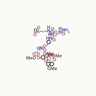 COC(=O)[C@H]1[C@@H](O)[C@@]2(O)c3c(OC)cc(OC4O[C@@H](CCNC(=O)OCc5ccc(NC(=O)[C@H](CCCNC(N)=O)NC(=O)C6(C(=O)NCCCCCN7C(=O)C=CC7=O)CCC6)cc5)CO[C@H]4OC)cc3O[C@@]2(c2ccc(OC)cc2)[C@@H]1c1ccccc1